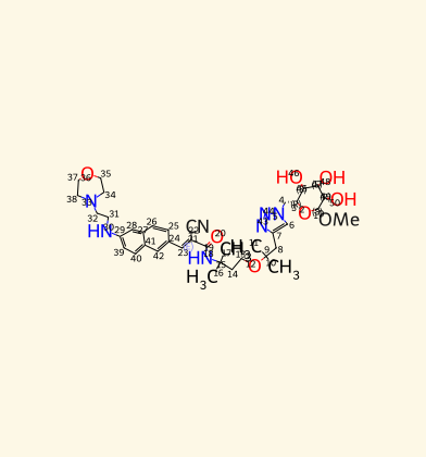 CO[C@H]1O[C@H](Cn2cc(CC(C)(C)OCCC(C)(C)NC(=O)/C(C#N)=C/c3ccc4cc(NCCN5CCOCC5)ccc4c3)nn2)[C@@H](O)[C@H](O)[C@H]1O